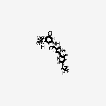 Cc1cc(N2CC(F)(F)C2)cnc1-c1cc(C(=O)Nc2cc(Cl)cc(NS(C)(=O)=O)c2)cn1C